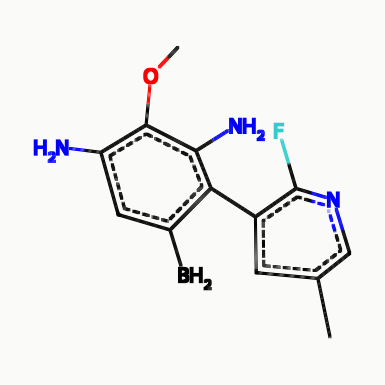 Bc1cc(N)c(OC)c(N)c1-c1cc(C)cnc1F